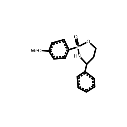 COc1ccc(P2(=O)NC(c3ccccc3)CCO2)cc1